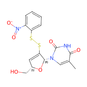 Cc1cn([C@@H]2O[C@H](CO)C=C2SSc2ccccc2[N+](=O)[O-])c(=O)[nH]c1=O